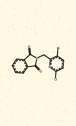 O=C1c2ccccc2C(=O)N1Cc1nc(Cl)ccc1Br